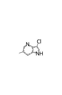 Cc1cnc2c(Cl)c[nH]c2c1